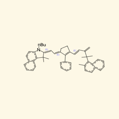 C=C(/C=C/C1=C(c2ccccc2)C(=C/C=C2/N(CCCC)c3ccc4ccccc4c3C2(C)C)/CC1)C(C)(C)c1c(C)ccc2ccccc12